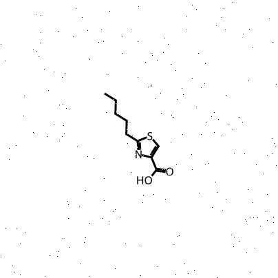 CCCCCc1nc(C(=O)O)cs1